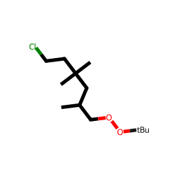 CC(COOC(C)(C)C)CC(C)(C)CCCl